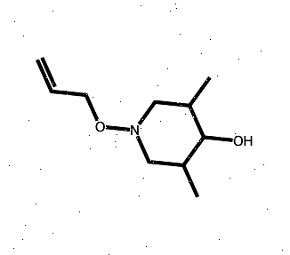 C=CCON1CC(C)C(O)C(C)C1